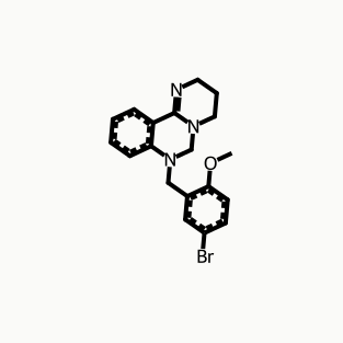 COc1ccc(Br)cc1CN1CN2CCCN=C2c2ccccc21